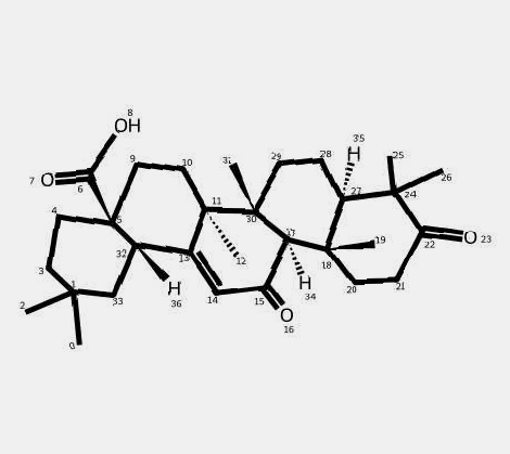 CC1(C)CC[C@]2(C(=O)O)CC[C@]3(C)C(=CC(=O)[C@@H]4[C@@]5(C)CCC(=O)C(C)(C)[C@@H]5CC[C@]43C)[C@@H]2C1